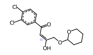 O=C(/C=C(/O)COC1CCCCO1)c1ccc(Cl)c(Cl)c1